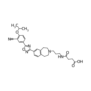 CC(C)Oc1ccc(-c2nc(-c3ccc4c(c3)CCN(CCCNC(=O)CCC(=O)O)CC4)no2)cc1C#N